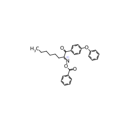 CCCCCC/C(=N\OC(=O)c1ccccc1)C(=O)c1ccc(Oc2ccccc2)cc1